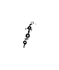 CCCc1cc(F)c(C#Cc2ccc(N=Nc3ccc(C#N)cc3)cc2)c(F)c1